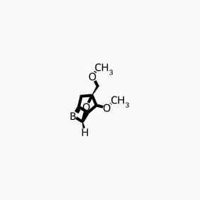 COC[C@]12CC3=B[C@H](O1)C3C2OC